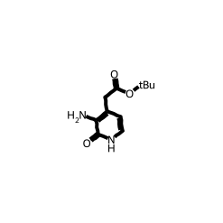 CC(C)(C)OC(=O)Cc1cc[nH]c(=O)c1N